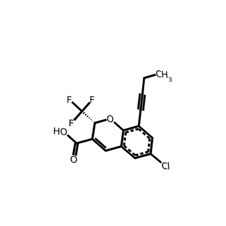 CCC#Cc1cc(Cl)cc2c1O[C@@H](C(F)(F)F)C(C(=O)O)=C2